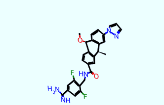 CO[C@@H]1c2ccc(C(=O)NCc3c(F)cc(C(=N)N)cc3F)cc2[C@H](C)c2cc(-n3cccn3)ccc21